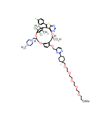 COCCOCCOCCOCCOCCOCC1(F)CCC(c2nccc(COc3ccc4cc3C[C@H](C(=O)O)Oc3ncnc5sc(-c6ccc(F)cc6)c(c35)-c3c(C)c(Cl)c(c(Cl)c3C)O[C@H](CN3CCN(C)CC3)CO4)n2)CC1